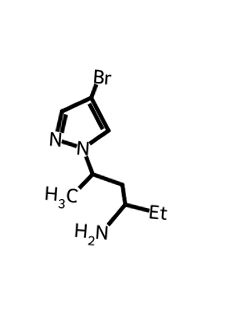 CCC(N)CC(C)n1cc(Br)cn1